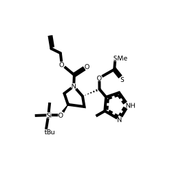 C=CCOC(=O)N1C[C@H](O[Si](C)(C)C(C)(C)C)C[C@H]1C(OC(=S)SC)c1c[nH]nc1C